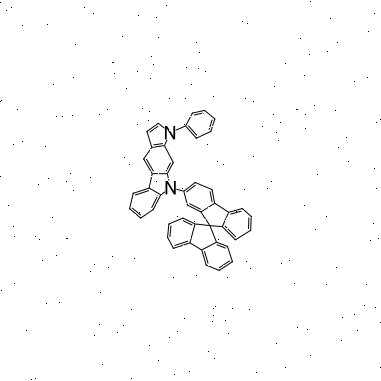 c1ccc(-n2ccc3cc4c5ccccc5n(-c5ccc6c(c5)C5(c7ccccc7-c7ccccc75)c5ccccc5-6)c4cc32)cc1